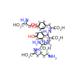 CC(N)C(=O)O.NC(CO)C(=O)O.NC(Cc1ccc(O)cc1)C(=O)O.NC(Cc1ccc(O)cc1)C(=O)O.NCCCCC(N)C(=O)O